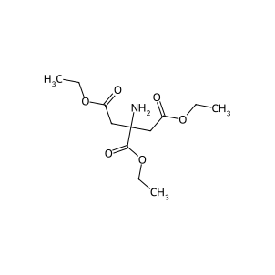 CCOC(=O)CC(N)(CC(=O)OCC)C(=O)OCC